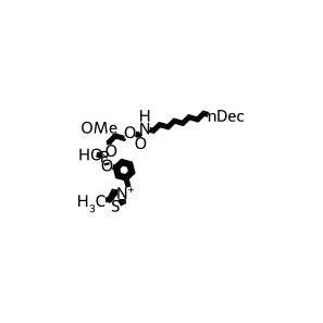 CCCCCCCCCCCCCCCCCCNC(=O)OCC(COP(O)Oc1cccc(C[n+]2csc(C)c2)c1)OC